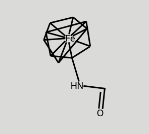 O=CN[C]12[CH]3[CH]4[CH]5[CH]1[Fe]45321678[CH]2[CH]1[CH]6[CH]7[CH]28